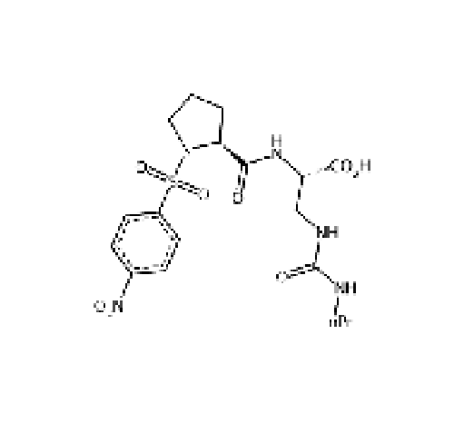 CCCNC(=O)NC[C@H](NC(=O)[C@@H]1CCCN1S(=O)(=O)c1ccc([N+](=O)[O-])cc1)C(=O)O